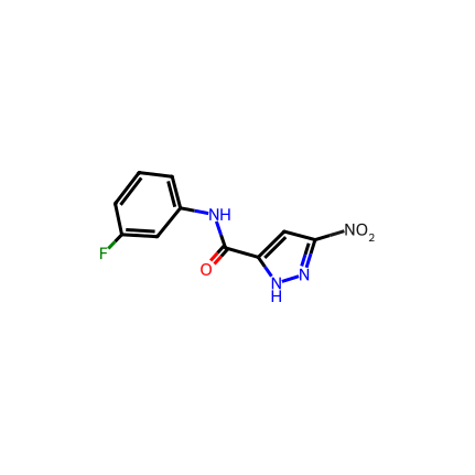 O=C(Nc1cccc(F)c1)c1cc([N+](=O)[O-])n[nH]1